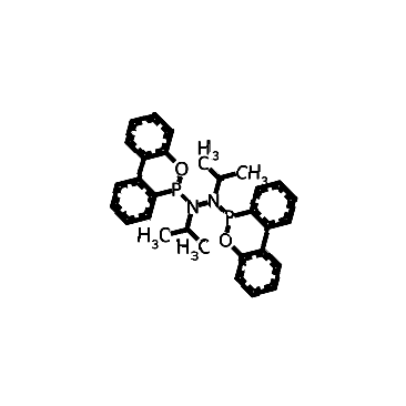 CC(C)N(N(C(C)C)P1Oc2ccccc2-c2ccccc21)P1Oc2ccccc2-c2ccccc21